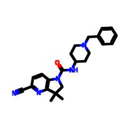 CC1(C)CN(C(=O)NC2CCN(Cc3ccccc3)CC2)c2ccc(C#N)nc21